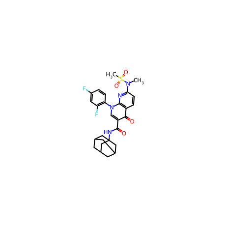 CN(c1ccc2c(=O)c(C(=O)NC34CC5CC(CC(C5)C3)C4)cn(-c3ccc(F)cc3F)c2n1)S(C)(=O)=O